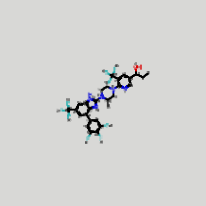 CCC(O)c1cnc(N2CCN(c3nc4c(-c5cc(F)c(F)c(F)c5)cc(C(F)(F)F)cc4[nH]3)[C@H](C)C2)c(C(F)(F)F)c1